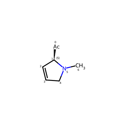 CC(=O)[C@@H]1C=CCN1C